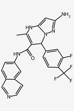 CC1=C(C(=O)Nc2ccc3cnccc3c2)C(c2ccc(C(F)(F)F)c(F)c2)n2nc(N)cc2N1